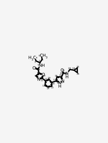 CCC(CC)NC(=O)c1cnc(-c2cccc(-c3cc(C(=O)NCC4CC4)n[nH]3)c2)o1